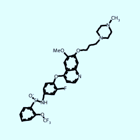 COc1cc2c(Oc3ccc(N[S+]([O-])c4ccccc4OC(F)(F)F)cc3F)ccnc2cc1OCCCN1CCN(C)CC1